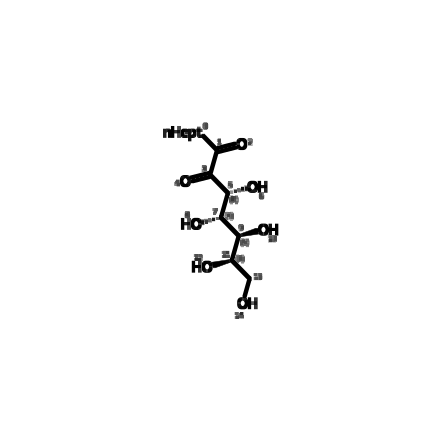 CCCCCCCC(=O)C(=O)[C@H](O)[C@@H](O)[C@@H](O)[C@H](O)CO